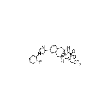 O=S1(=O)N[C@@]2(CN1CC(F)(F)F)[C@@H]1CC[C@H]2Cc2ccc(-c3cn(-c4ccccc4F)cn3)cc2C1